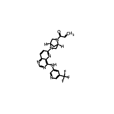 C=CC(=O)N1C[C@@H]2C[C@H]1CN2c1ccc2ncnc(Nc3cncc(C(F)(F)F)c3)c2n1